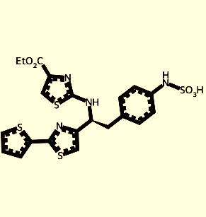 CCOC(=O)c1csc(N[C@@H](Cc2ccc(NS(=O)(=O)O)cc2)c2csc(-c3cccs3)n2)n1